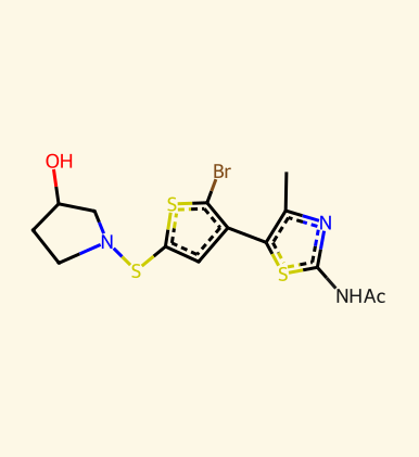 CC(=O)Nc1nc(C)c(-c2cc(SN3CCC(O)C3)sc2Br)s1